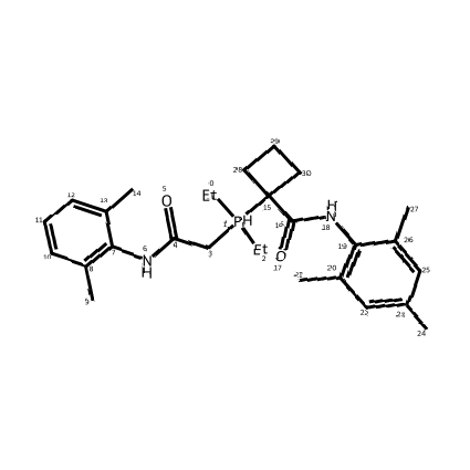 CC[PH](CC)(CC(=O)Nc1c(C)cccc1C)C1(C(=O)Nc2c(C)cc(C)cc2C)CCC1